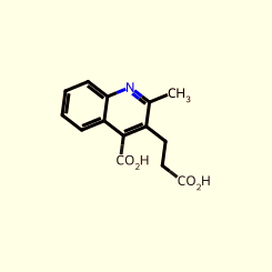 Cc1nc2ccccc2c(C(=O)O)c1CCC(=O)O